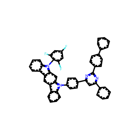 Fc1cc(F)c(-n2c3ccccc3c3cc4c5ccccc5n(-c5ccc(-c6cc(-c7ccccc7)nc(-c7ccc(-c8ccccc8)cc7)n6)cc5)c4cc32)c(F)c1